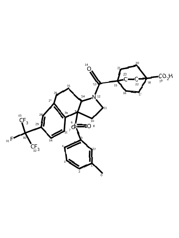 Cc1cccc(S(=O)(=O)C23CCN(C(=O)C45CCC(C(=O)O)(CC4)CC5)C2CCc2cc(C(F)(C(F)(F)F)C(F)(F)F)ccc23)c1